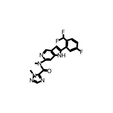 CN(C(=O)c1ncnn1C)c1cc2[nH]c(-c3cc(F)ccc3C(F)F)cc2cn1